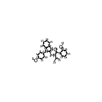 COc1ccc(-n2c(CN(C(=O)c3ccccc3OC)C(C)C)nc3ccccc32)cc1